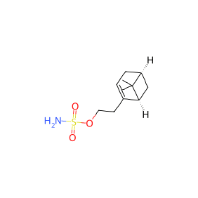 CC1(C)[C@H]2CC=C(CCOS(N)(=O)=O)[C@@H]1C2